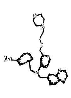 COc1cccc(CN(Cc2ccc3cccnc3c2)c2ccnc(COCCN3CCOCC3)c2)c1